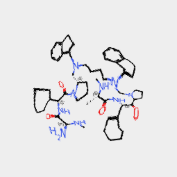 CN[C@@H](C)C(=O)N[C@H](C(=O)C1CCCN1CN(CCCCN(C[C@@H]1CCCN1C(=O)[C@@H](NC(=O)[C@H](N)NC)C1CCCCC1)C1CCc2ccccc21)C1CCc2ccccc21)C1CCCCC1